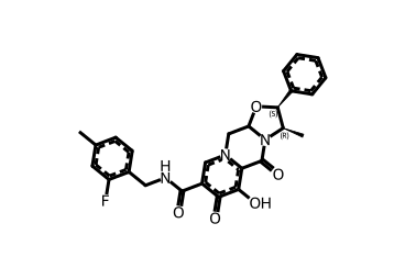 Cc1ccc(CNC(=O)c2cn3c(c(O)c2=O)C(=O)N2C(C3)O[C@@H](c3ccccc3)[C@H]2C)c(F)c1